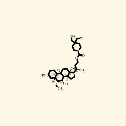 CC[C@H]1[C@@H](O)C2[C@@H]3CC[C@H]([C@H](C)CCOC(=O)N4CCC(CO)(CCl)CC4)[C@@]3(C)CC[C@@H]2[C@@]2(C)CC[C@@H](O)C[C@@H]12